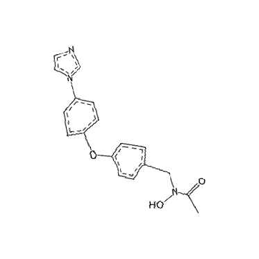 CC(=O)N(O)Cc1ccc(Oc2ccc(-n3ccnc3)cc2)cc1